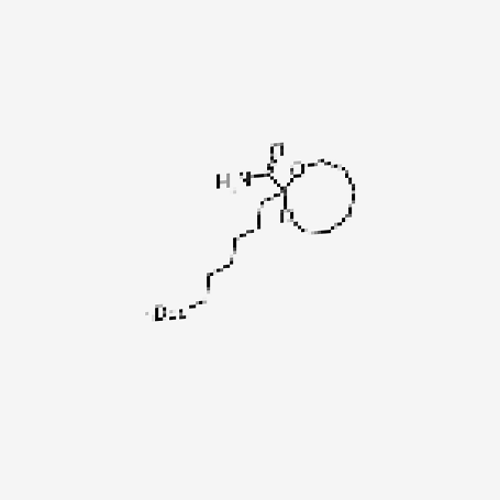 CCCCCCCCCCCCCCCCC1(C(N)=O)OCCCCCCO1